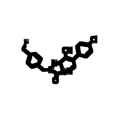 N#Cc1c(-c2ccc(Cl)cc2)cnn2c(=O)n(Cc3ccc(CF)cc3)nc12